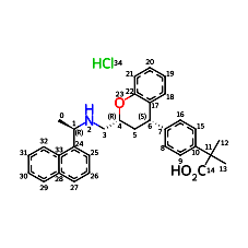 C[C@@H](NC[C@H]1C[C@@H](c2ccc(C(C)(C)C(=O)O)cc2)c2ccccc2O1)c1cccc2ccccc12.Cl